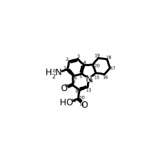 Nc1ccc2c3c1c(=O)c(C(=O)O)cn3C1CCCCC21